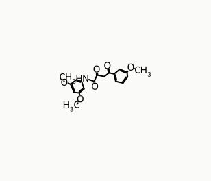 COc1cc(NC(=O)C(=O)CC(=O)c2cccc(OC)c2)cc(OC)c1